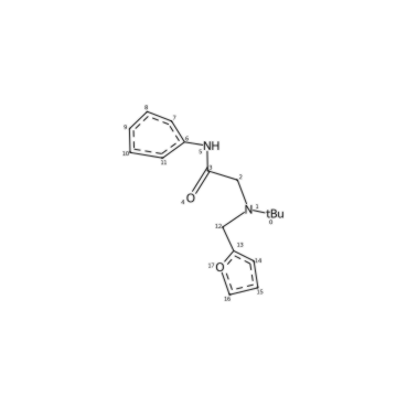 CC(C)(C)N(CC(=O)Nc1ccccc1)Cc1ccco1